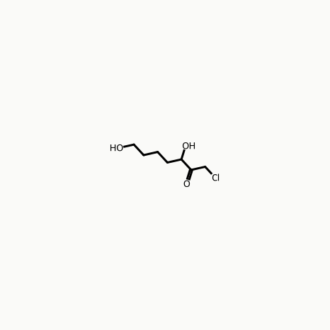 O=C(CCl)C(O)CCCCO